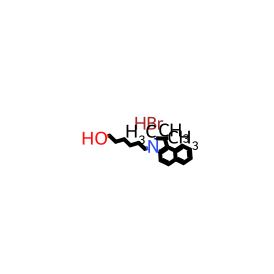 Br.CC1N(CCCCCCO)c2ccc3ccccc3c2C1(C)C